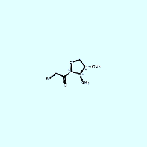 CO[C@@H]1[C@@H](OC)CO[C@@H]1C(=O)CBr